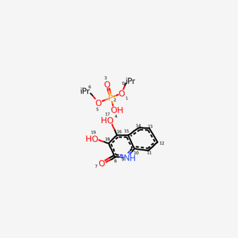 CC(C)OP(=O)(O)OC(C)C.O=c1[nH]c2ccccc2c(O)c1O